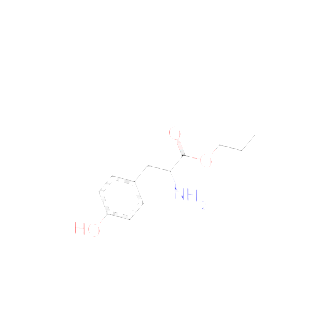 CCCOC(=O)C(N)Cc1ccc(O)cc1